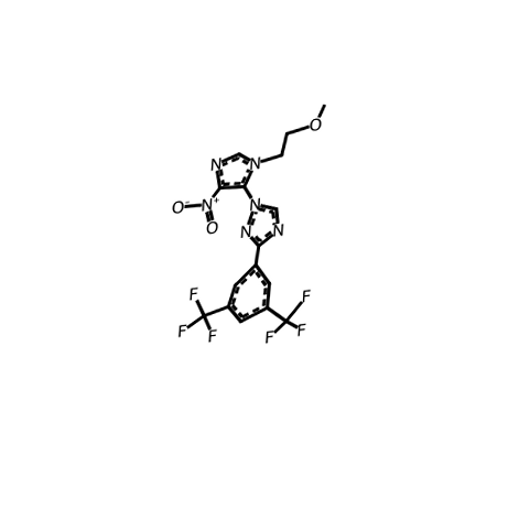 COCCn1cnc([N+](=O)[O-])c1-n1cnc(-c2cc(C(F)(F)F)cc(C(F)(F)F)c2)n1